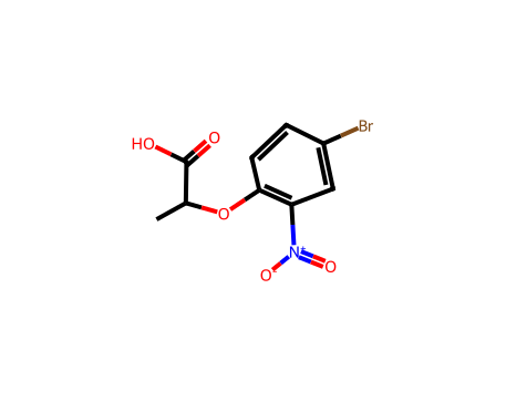 CC(Oc1ccc(Br)cc1[N+](=O)[O-])C(=O)O